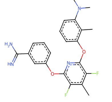 Cc1c(Oc2nc(Oc3cccc(C(=N)N)c3)c(F)c(C)c2F)cccc1N(C)C